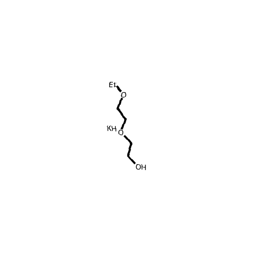 CCOCCOCCO.[KH]